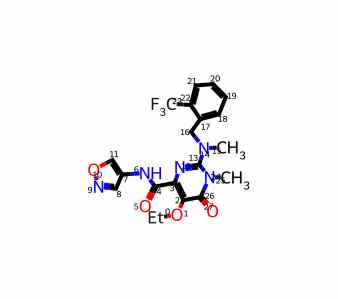 CCOc1c(C(=O)Nc2cnoc2)nc(N(C)Cc2ccccc2C(F)(F)F)n(C)c1=O